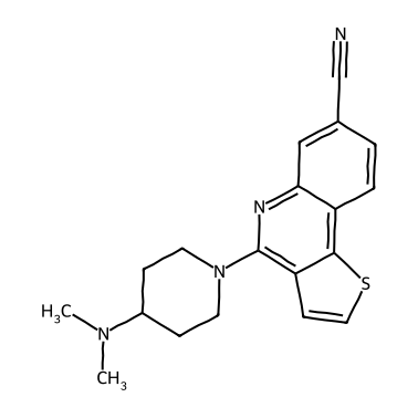 CN(C)C1CCN(c2nc3cc(C#N)ccc3c3sccc23)CC1